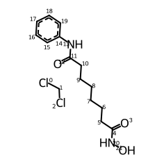 ClCCl.O=C(CCCCCCC(=O)Nc1ccccc1)NO